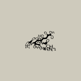 CC(=O)NC(C(O)CN=[N+]=[N-])C(O)C(NC(C)=O)C(O)CC(=O)C(=O)O